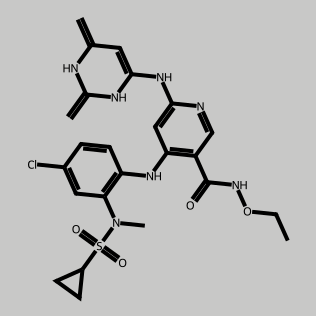 C=C1C=C(Nc2cc(Nc3ccc(Cl)cc3N(C)S(=O)(=O)C3CC3)c(C(=O)NOCC)cn2)NC(=C)N1